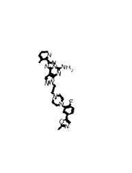 Cc1ncc(-c2ccc(F)c(N3CCN(CCn4ncc5c4nc(N)n4nc(-c6ncccc6C)nc54)CC3)c2)o1